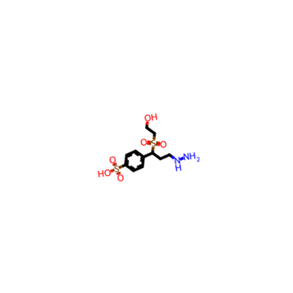 NNCCC(c1ccc(S(=O)(=O)O)cc1)S(=O)(=O)CCO